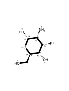 N[C@@H]1[C@H](F)[C@H](O)[C@@H](CO)O[C@@H]1O